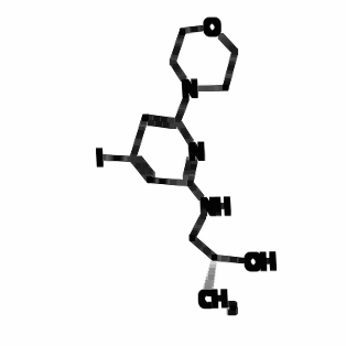 C[C@@H](O)CNc1cc(I)cc(N2CCOCC2)n1